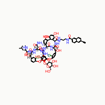 C#Cc1ccc2cc(C(=O)NCCCNC(=O)C3NC(=O)[C@H]4NC(=O)[C@H](NC(=O)C5NC(=O)[C@H](CC(N)=O)NC(=O)[C@H](NC(=O)[C@@H](CC(C)C)NC)[C@H](O)c6ccc(c(Cl)c6)Oc6cc5cc(c6O[C@@H]5O[C@H](CO)[C@@H](O)[C@H](O)[C@H]5OC5C[C@](C)(N)[C@H](O)[C@H](C)O5)Oc5ccc(cc5Cl)[C@H]4O)c4ccc(O)c(c4)-c4c(O)cc(O)cc43)ccc2c1